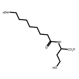 CCCCCCCCCCCCCCCCCC(=O)NC(CCO)C(=O)O